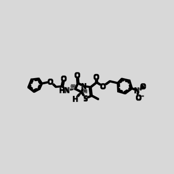 CC1=C(C(=O)OCc2ccc([N+](=O)[O-])cc2)N2C(=O)[C@@H](NC(=O)COc3ccccc3)[C@H]2S1